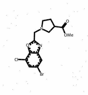 COC(=O)C1CCN(Cc2nc3cc(Br)cc(Cl)c3o2)C1